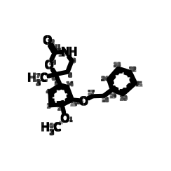 COc1ccc(C2(C)CCNC(=O)O2)cc1OCCc1ccccc1